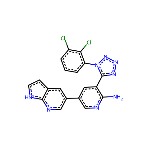 Nc1ncc(-c2cnc3[nH]ccc3c2)cc1-c1nnnn1-c1cccc(Cl)c1Cl